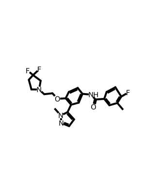 Cc1cc(C(=O)Nc2ccc(OCCN3CCC(F)(F)C3)c(-c3ccnn3C)c2)ccc1F